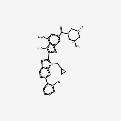 COc1cc(C(=O)N2C[C@H](N)C[C@@H](F)C2)cc2nc(-c3cc4ccc(-c5ccccc5C#N)nc4n3CC3CC3)n(C)c12